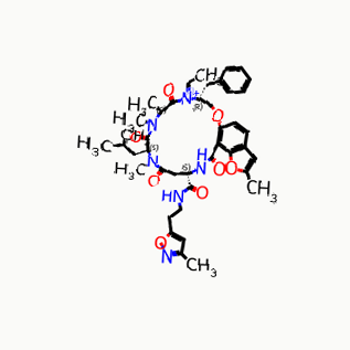 C/C=[N+]1/C(=O)[C@H](C)N(C)C(=O)[C@H](CC(C)C)N(C)C(=O)C[C@@H](C(=O)NCCc2cc(C)no2)NC(=O)c2c(ccc3cc(C)oc23)OC[C@H]1Cc1ccccc1